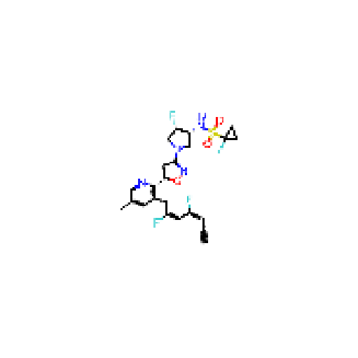 C#C/C=C(F)\C=C(\F)Cc1cc(C)cnc1[C@@H]1CC(N2C[C@H](F)[C@H](NS(=O)(=O)C3(F)CC3)C2)=NO1